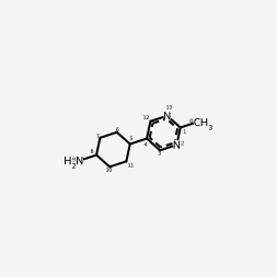 Cc1ncc(C2CCC(N)CC2)cn1